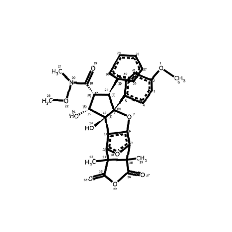 COc1ccc([C@@]23Oc4c5oc(c4[C@]2(O)[C@H](O)[C@H](C(=O)N(C)OC)[C@H]3c2ccccc2)C2(C)C(=O)OC(=O)C52C)cc1